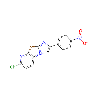 O=[N+]([O-])c1ccc(-c2cn3c(n2)sc2nc(Cl)ccc23)cc1